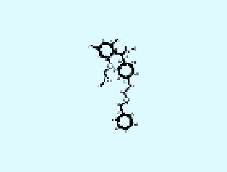 COCOc1cc(C)cc(C)c1C(O)c1ccc(CCOCc2ccccc2)cc1